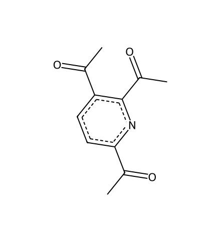 CC(=O)c1ccc(C(C)=O)c(C(C)=O)n1